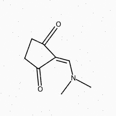 CN(C)C=C1C(=O)CCC1=O